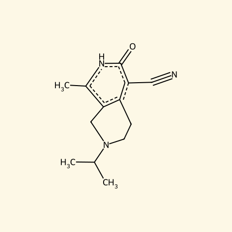 Cc1[nH]c(=O)c(C#N)c2c1CN(C(C)C)CC2